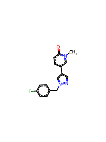 Cn1cc(-c2cnn(Cc3ccc(F)cc3)c2)ccc1=O